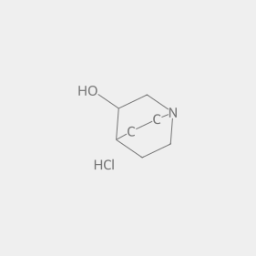 Cl.OC1CN2CCC1CC2